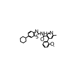 COc1ccccc1-c1cc(C)ncc1C(=O)Nc1nc2ccc(C3CCCCC3)cc2s1